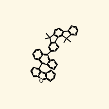 CC1(C)c2cc(-c3c4ccccc4c(-c4cccc5oc6ccccc6c45)c4ccccc34)ccc2-c2c1ccc1c2C(C)(C)c2ccccc2-1